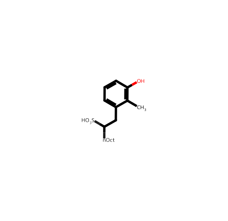 CCCCCCCCC(Cc1cccc(O)c1C)S(=O)(=O)O